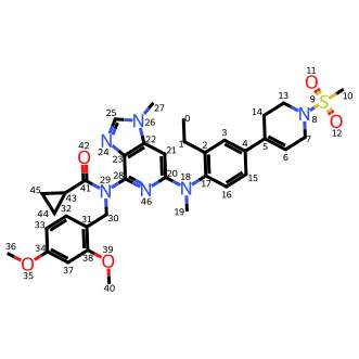 CCc1cc(C2=CCN(S(C)(=O)=O)CC2)ccc1N(C)c1cc2c(ncn2C)c(N(Cc2ccc(OC)cc2OC)C(=O)C2CC2)n1